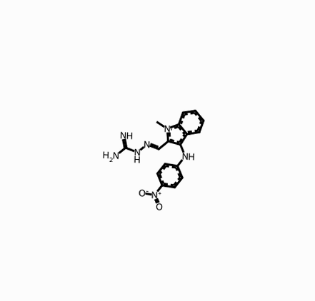 Cn1c(C=NNC(=N)N)c(Nc2ccc([N+](=O)[O-])cc2)c2ccccc21